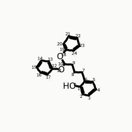 Oc1ccccc1CCCC(Oc1ccccc1)Oc1ccccc1